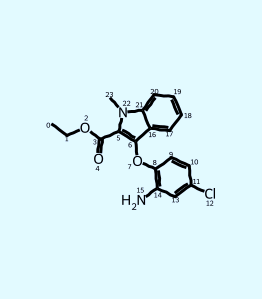 CCOC(=O)c1c(Oc2ccc(Cl)cc2N)c2ccccc2n1C